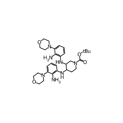 CC(C)(C)OC(=O)N1CCC(Nc2cccc(N3CCOCC3)c2N)C(Nc2cccc(N3CCOCC3)c2N)C1